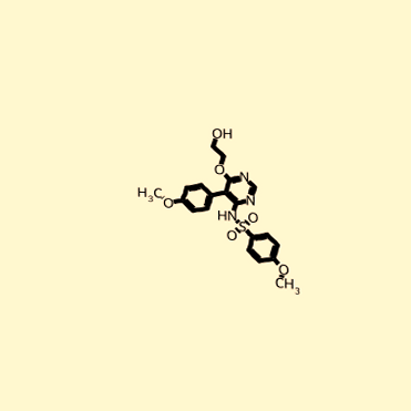 COc1ccc(-c2c(NS(=O)(=O)c3ccc(OC)cc3)ncnc2OCCO)cc1